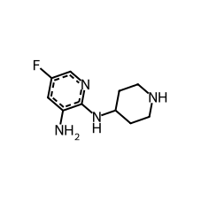 Nc1cc(F)cnc1NC1CCNCC1